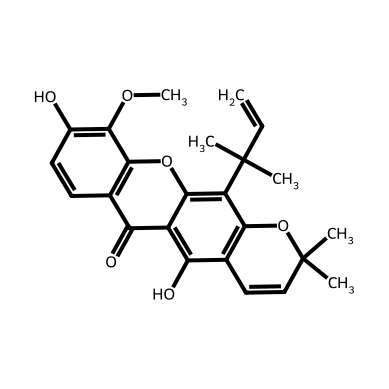 C=CC(C)(C)c1c2c(c(O)c3c(=O)c4ccc(O)c(OC)c4oc13)C=CC(C)(C)O2